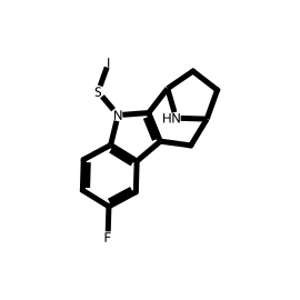 Fc1ccc2c(c1)c1c(n2SI)C2CCC(C1)N2